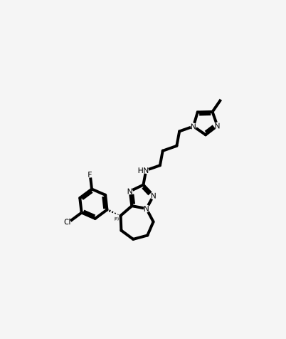 Cc1cn(CCCCNc2nc3n(n2)CCCC[C@@H]3c2cc(F)cc(Cl)c2)cn1